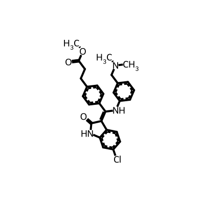 COC(=O)CCc1ccc(C(Nc2cccc(CN(C)C)c2)=C2C(=O)Nc3cc(Cl)ccc32)cc1